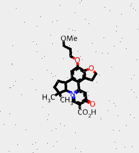 COCCCOc1cc2c(c3c1OCC3)-c1cc(=O)c(C(=O)O)cn1C1C2CCC1(C)C